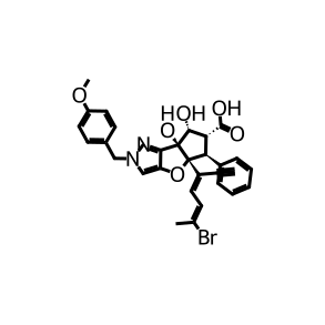 C#C/C(=C\C=C(/C)Br)[C@@]12Oc3cn(Cc4ccc(OC)cc4)nc3[C@]1(O)[C@H](O)[C@H](C(=O)O)[C@H]2c1ccccc1